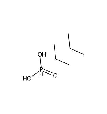 CCC.CCC.O=[PH](O)O